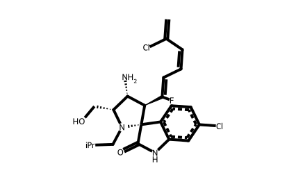 C=C(Cl)/C=C\C=C(/F)[C@@H]1[C@@H](N)[C@@H](CO)N(CC(C)C)[C@]12C(=O)Nc1cc(Cl)ccc12